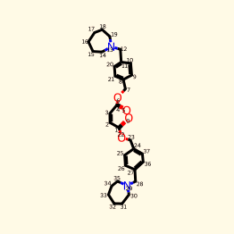 O=C(/C=C\C(=O)OCc1ccc(CN2CCCCCC2)cc1)OCc1ccc(CN2CCCCCC2)cc1